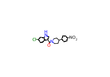 O=C(c1c[nH]c2cc(Cl)ccc12)N1CCC(c2ccc([N+](=O)[O-])cc2)CC1